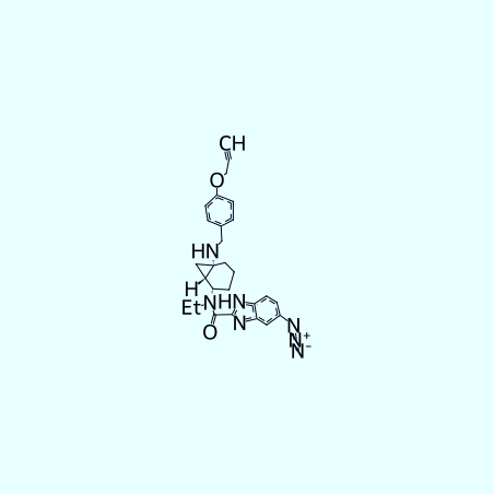 C#CCOc1ccc(CN[C@]23CCC[C@H](N(CC)C(=O)c4nc5cc(N=[N+]=[N-])ccc5[nH]4)[C@@H]2C3)cc1